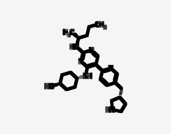 CCC[C@H](C)Nc1ncc(-c2ccc(C[C@@H]3CCNC3)cn2)c(N[C@H]2CC[C@H](O)CC2)n1